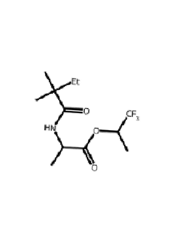 CCC(C)(C)C(=O)NC(C)C(=O)OC(C)C(F)(F)F